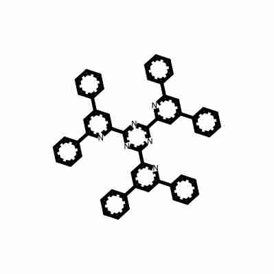 c1ccc(-c2cc(-c3ccccc3)nc(-c3nc(-c4cc(-c5ccccc5)cc(-c5ccccc5)n4)nc(-c4cc(-c5ccccc5)cc(-c5ccccc5)n4)n3)c2)cc1